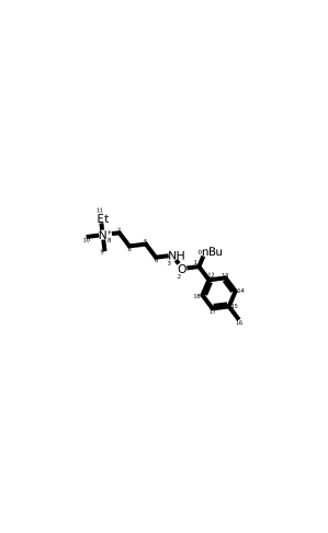 CCCCC(ONCCCC[N+](C)(C)CC)c1ccc(C)cc1